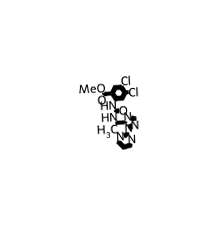 COC(=O)c1cc(Cl)c(Cl)cc1NC(=O)N[C@@H](C)c1ncnn1-c1ncccn1